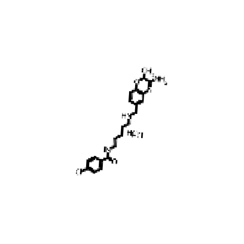 CC1Oc2ccc(CNCCCCCNC(=O)c3ccc(Cl)cc3)cc2N=C1N.Cl.Cl